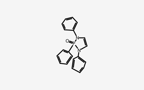 O=P1(c2ccccc2)N(c2ccccc2)C=CN1c1ccccc1